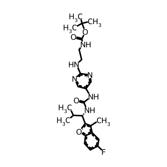 Cc1c([C@@H](NC(=O)Nc2cnc(NCCNC(=O)OC(C)(C)C)nc2)C(C)C)oc2ccc(F)cc12